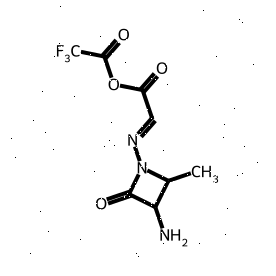 CC1C(N)C(=O)N1N=CC(=O)OC(=O)C(F)(F)F